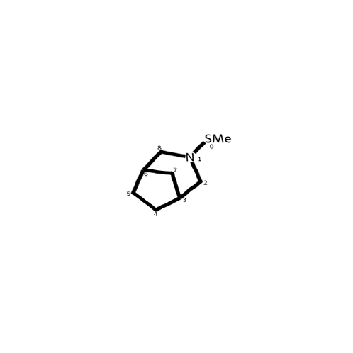 CSN1CC2CCC(C2)C1